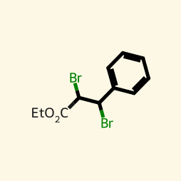 CCOC(=O)C(Br)C(Br)c1ccccc1